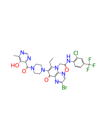 CCc1c(N2CCN(C(=O)c3ncnc(C)c3O)CC2)c(=O)c2nc(Br)cnc2n1CC(=O)Nc1ccc(C(F)(F)F)cc1Cl